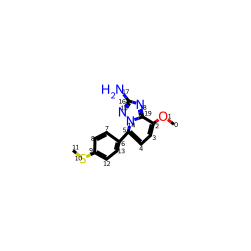 COc1ccc(-c2ccc(SC)cc2)n2nc(N)nc12